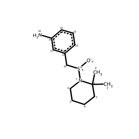 CC1(C)CCCCN1[S+]([O-])Cc1cccc(N)c1